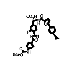 CC(C)(C)OC(=O)Nc1ccc(-c2nc(-c3ccc(C[C@@H](NC(=O)c4ccc(-c5ccc(C6CC6)cc5)o4)C(=O)O)cc3F)no2)cc1